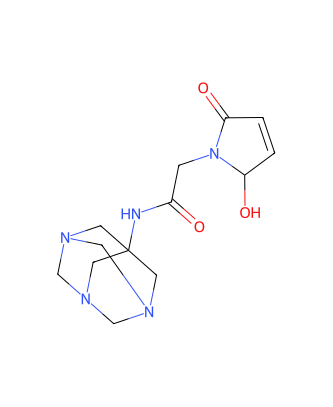 O=C(CN1C(=O)C=CC1O)NC12CN3CN(CN(C3)C1)C2